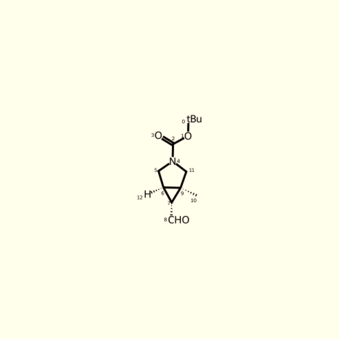 CC(C)(C)OC(=O)N1C[C@@H]2[C@@H](C=O)[C@]2(C)C1